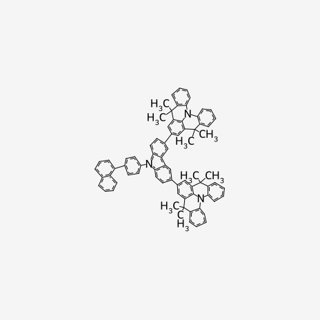 CC1(C)c2ccccc2N2c3ccccc3C(C)(C)c3cc(-c4ccc5c(c4)c4cc(-c6cc7c8c(c6)C(C)(C)c6ccccc6N8c6ccccc6C7(C)C)ccc4n5-c4ccc(-c5cccc6ccccc56)cc4)cc1c32